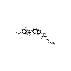 CCCCCC(=O)Nc1nc2ccc(C(=O)Nc3c(C)cc(C)cc3C)cc2s1